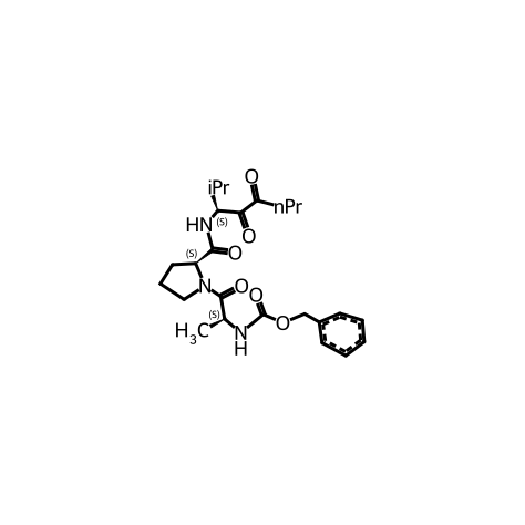 CCCC(=O)C(=O)[C@@H](NC(=O)[C@@H]1CCCN1C(=O)[C@H](C)NC(=O)OCc1ccccc1)C(C)C